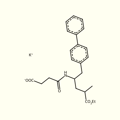 CCOC(=O)C(C)CC(Cc1ccc(-c2ccccc2)cc1)NC(=O)CCC(=O)[O-].[K+]